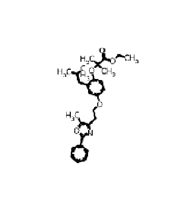 CCOC(=O)C(C)(C)Oc1ccc(OCCc2nc(-c3ccccc3)oc2C)cc1CC(C)C